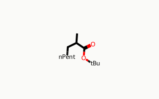 CCCCCCC(C)C(=O)OC(C)(C)C